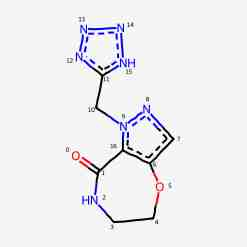 O=C1NCCOc2cnn(Cc3nnn[nH]3)c21